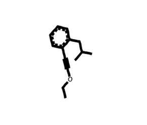 CCOC#Cc1ccccc1CC(C)C